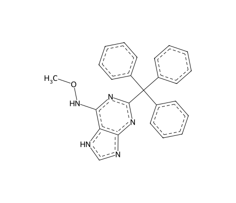 CONc1nc(C(c2ccccc2)(c2ccccc2)c2ccccc2)nc2nc[nH]c12